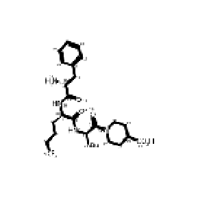 CCCCC(NC(=O)[C@@H](CCCC(F)(F)F)NC(=O)[C@H](N)Cc1ccccc1)C(=O)N1CCC(C(=O)O)CC1